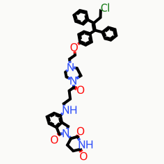 O=C1CCC(N2Cc3c(NCCCC(=O)N4CCN(CCOc5ccc(C(=C(CCCl)c6ccccc6)c6ccccc6)cc5)CC4)cccc3C2=O)C(=O)N1